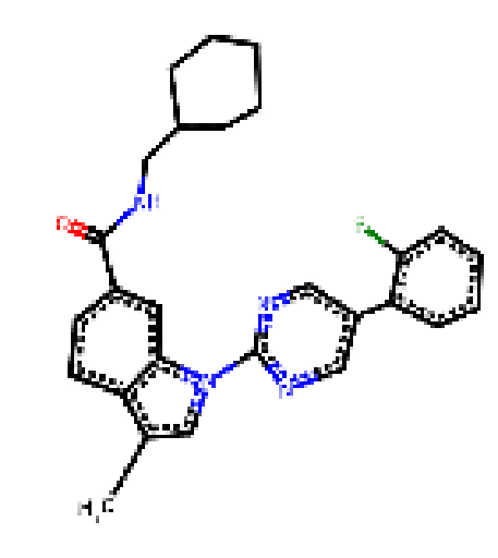 Cc1cn(-c2ncc(-c3ccccc3F)cn2)c2cc(C(=O)NCC3CCCCC3)ccc12